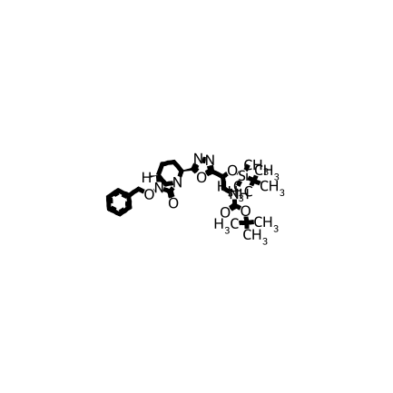 CC(C)(C)OC(=O)NCC(O[Si](C)(C)C(C)(C)C)c1nnc([C@@H]2CC[C@H]3CN2C(=O)N3OCc2ccccc2)o1